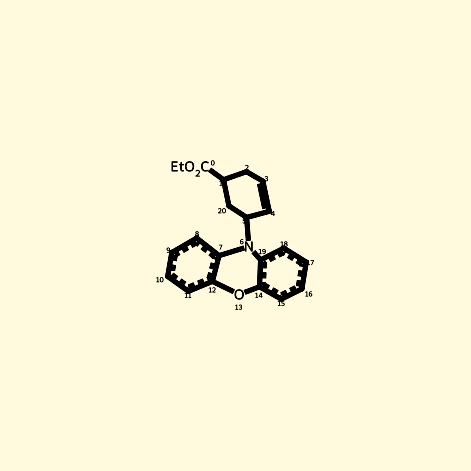 CCOC(=O)C1CC=CC(N2c3ccccc3Oc3ccccc32)C1